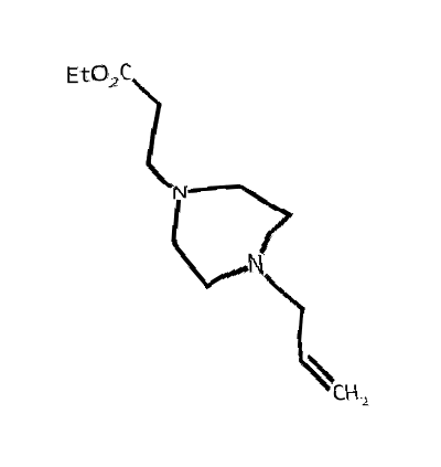 C=CCN1CCN(CCC(=O)OCC)CC1